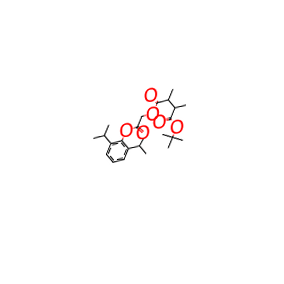 CC(C)c1cccc(C(C)C)c1OC(=O)COC(=O)C(C)C(C)C(=O)OC(C)(C)C